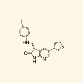 O=C1Nc2ncc(-c3ccsc3)cc2C1=CNc1ccc(I)cc1